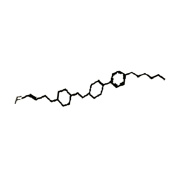 CCCCCCc1ccc(C2CCC(CCC3CCC(CC/C=C/F)CC3)CC2)cc1